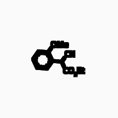 CCOC(=O)C(C#N)c1ccccc1OC